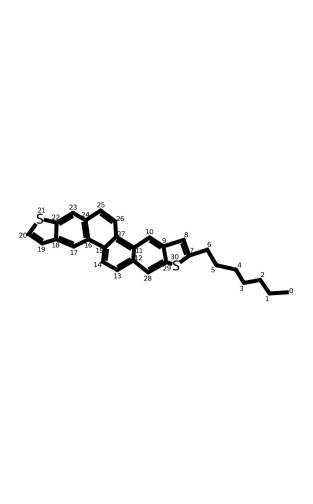 CCCCCCCc1cc2cc3c(ccc4c5cc6ccsc6cc5ccc34)cc2s1